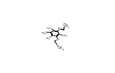 CCOc1c(C)c([SiH3])c(C)c(OCC)c1C